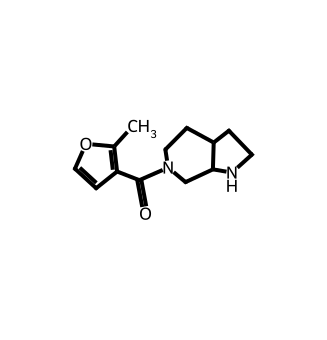 Cc1occc1C(=O)N1CCC2CCNC2C1